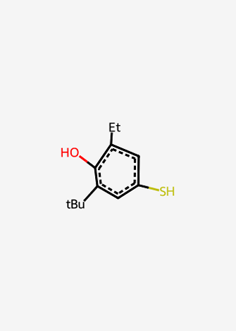 CCc1cc(S)cc(C(C)(C)C)c1O